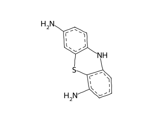 Nc1ccc2c(c1)Sc1c(N)cccc1N2